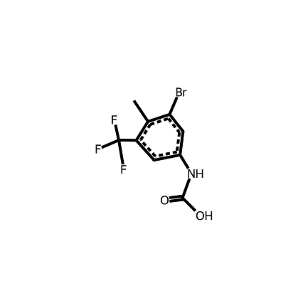 Cc1c(Br)cc(NC(=O)O)cc1C(F)(F)F